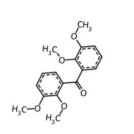 COc1cccc(C(=O)c2cccc(OC)c2OC)c1OC